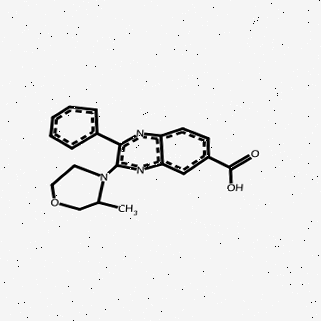 CC1COCCN1c1nc2cc(C(=O)O)ccc2nc1-c1ccccc1